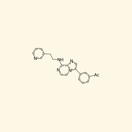 CC(=O)c1cccc(-c2cnc3c(NCCc4cccnc4)nccn23)c1